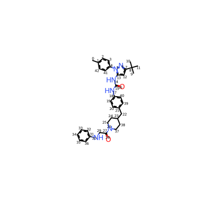 Cc1ccc(-n2nc(C(C)(C)C)cc2NC(=O)Nc2ccc(CC3CCN(C(=O)CNc4ccccc4)CC3)cc2)cc1